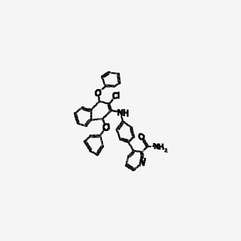 NC(=O)c1ncccc1-c1ccc(NC2=C(Cl)C(Oc3ccccc3)c3ccccc3C2Oc2ccccc2)cc1